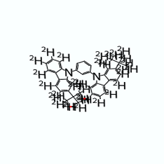 [2H]c1c([2H])c([2H])c2c(c1[2H])c1c([2H])c([2H])c(C(C([2H])([2H])[2H])(C([2H])([2H])[2H])C([2H])([2H])[2H])c([2H])c1n2-c1cccc(-n2c3c([2H])c([2H])c([2H])c([2H])c3c3c([2H])c([2H])c(C(C([2H])([2H])[2H])(C([2H])([2H])[2H])C([2H])([2H])[2H])c([2H])c32)c1